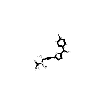 C[C@H](C#Cc1ccc(C(O)c2ccc(F)cc2)s1)N(O)C(N)=O